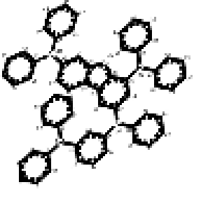 c1ccc(N(c2ccccc2)c2cccc(N(c3ccccc3)c3cc(N(c4ccccc4)c4ccccc4)c4sc5cc(N(c6ccccc6)c6ccccc6)ccc5c4c3)c2)cc1